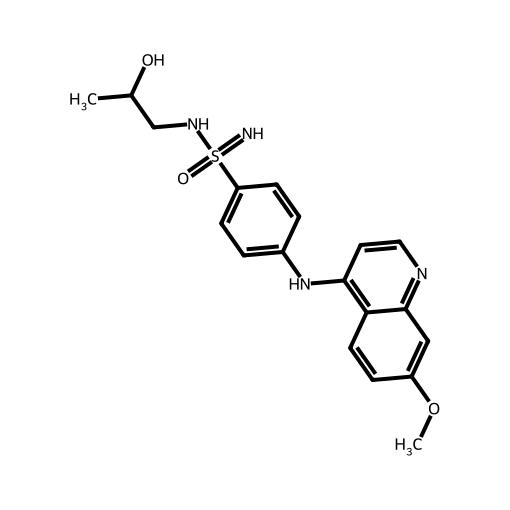 COc1ccc2c(Nc3ccc(S(=N)(=O)NCC(C)O)cc3)ccnc2c1